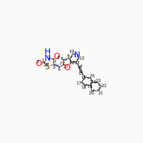 O=C1NC(=O)/C(=C\c2cc3cncc(C#Cc4ccc5ccccc5c4)c3o2)S1